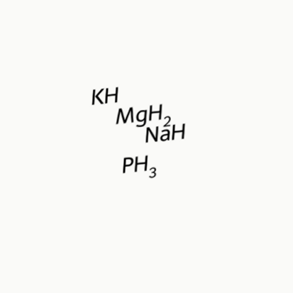 P.[KH].[MgH2].[NaH]